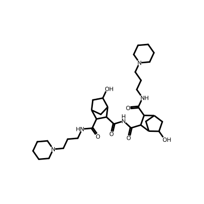 O=C(NCCCN1CCCCC1)C1C2CC(O)C(C2)C1C(=O)NC(=O)C1C2CC(CC2O)C1C(=O)NCCCN1CCCCC1